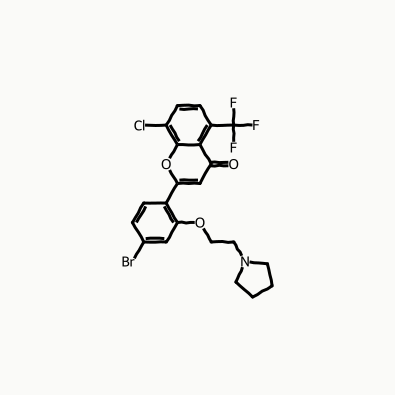 O=c1cc(-c2ccc(Br)cc2OCCN2CCCC2)oc2c(Cl)ccc(C(F)(F)F)c12